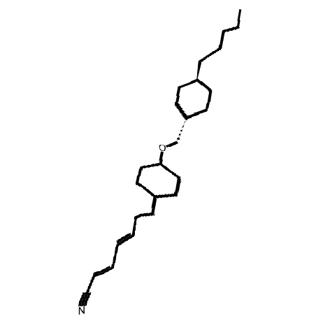 CCCCC[C@H]1CC[C@H](COC2CCC(CCC=CC=CC#N)CC2)CC1